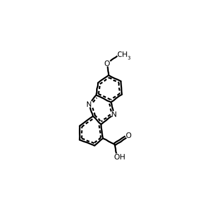 COc1ccc2nc3c(C(=O)O)cccc3nc2c1